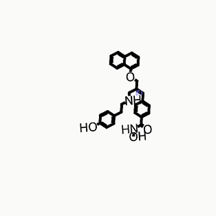 O=C(NO)c1ccc(/C=C(\CNCCc2ccc(O)cc2)COc2cccc3ccccc23)cc1